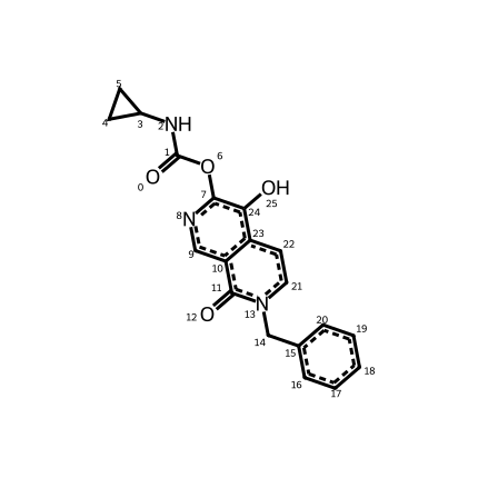 O=C(NC1CC1)Oc1ncc2c(=O)n(Cc3ccccc3)ccc2c1O